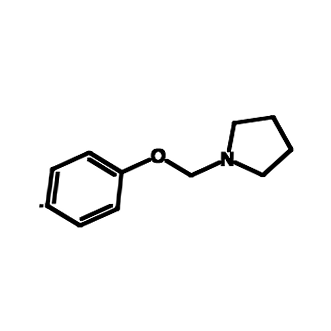 [c]1ccc(OCN2CCCC2)cc1